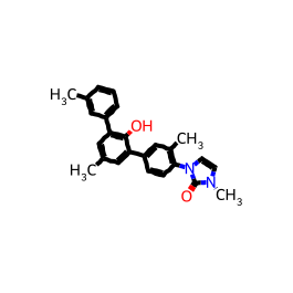 Cc1cccc(-c2cc(C)cc(-c3ccc(-n4ccn(C)c4=O)c(C)c3)c2O)c1